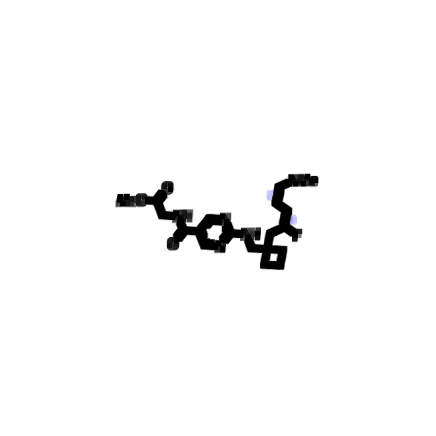 CN/C=C\C=C(\F)CC1(CNc2ncc(C(=O)NCC(=O)OC)cn2)CCC1